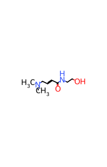 CN(C)CC=CC(=O)NCCO